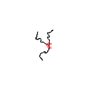 CCCCC/C=C\C/C=C\C/C=C\C/C=C\CCCC(=O)OCC(COC(=O)CCC/C=C\C/C=C\C/C=C\C/C=C\CCCCC)OC(=O)CCC/C=C\C/C=C\C/C=C\C/C=C\CCCCC